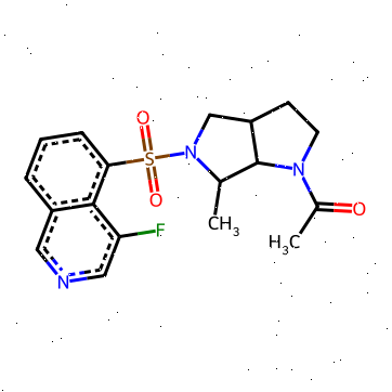 CC(=O)N1CCC2CN(S(=O)(=O)c3cccc4cncc(F)c34)C(C)C21